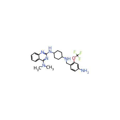 CN(C)c1nc(NC2CCC(NCc3ccc(N)cc3OC(F)(F)F)CC2)nc2ccccc12